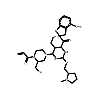 C=CC(=O)N1CCN(C2NC(OCC3CCCN3C)NC3C(=O)[C@]4(CCC32)Cc2c(OC)cccc2O4)CC1CC#N